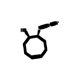 [N-]=[N+]=N[C@@H]1CCC=CCC[C@H]1O